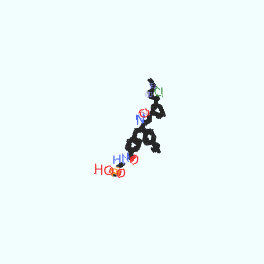 C=C(/C=C\C(Cl)=C/C)c1cccc(-c2cc(C(Cc3ccc(C(=O)NCCP(C)(=O)O)cc3)c3ccc(C(C)(C)C)cc3)no2)c1